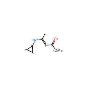 COC(=O)C=C(C)NC1CC1